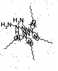 CCCCCCCCON1C(C)(C)CC(N(c2nc(N(CCCN)CCNCCCN)nc(N(C3CC(C)(C)N(OCCCCCCCC)C(C)(C)C3)C3CC(C)(C)N(OCCCCCCCC)C(C)(C)C3)n2)C2CC(C)(C)N(OCCCCCCCC)C(C)(C)C2)CC1(C)C